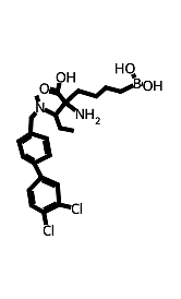 CCC(N(C)Cc1ccc(-c2ccc(Cl)c(Cl)c2)cc1)C(N)(CCCCB(O)O)C(=O)O